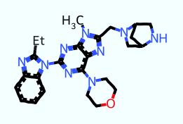 CCc1nc2ccccc2n1-c1nc(N2CCOCC2)c2nc(CN3CC4CC3CN4)n(C)c2n1